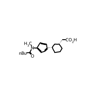 CCCCC(=O)N(C)c1ccc([C@H]2CCC[C@@H](CC(=O)O)C2)cc1